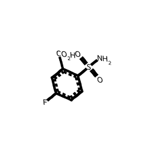 NS(=O)(=O)c1ccc(F)cc1C(=O)O